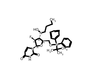 CCCCN(O)[C@H]1[C@H](F)[C@H](n2ccc(=O)[nH]c2=O)O[C@@H]1CO[Si](c1ccccc1)(c1ccccc1)C(C)(C)C